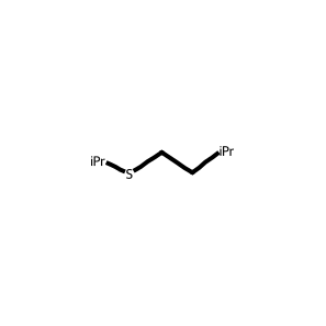 CC(C)CCSC(C)C